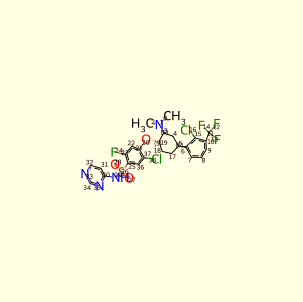 CN(C)[C@H]1C[C@@H](c2cccc(C(F)(F)F)c2Cl)CC[C@@H]1Oc1cc(F)c(S(=O)(=O)Nc2ccncn2)cc1Cl